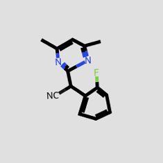 Cc1cc(C)nc(C(C#N)c2ccccc2F)n1